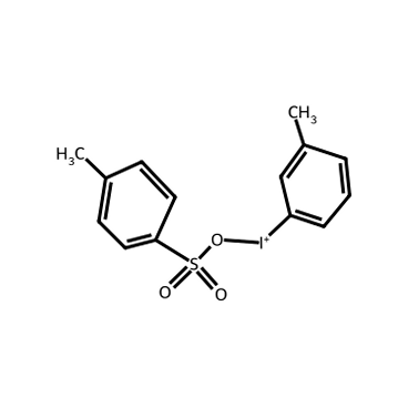 Cc1ccc(S(=O)(=O)O[I+]c2cccc(C)c2)cc1